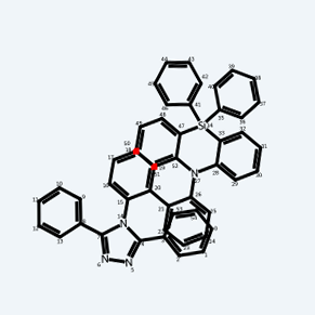 c1ccc(-c2nnc(-c3ccccc3)n2-c2ccccc2-c2ccccc2N2c3ccccc3[Si](c3ccccc3)(c3ccccc3)c3ccccc32)cc1